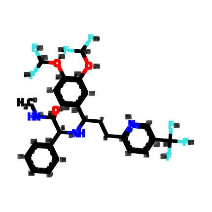 CNC(=O)C(NC(CCc1ccc(C(F)(F)F)cn1)c1ccc(OC(F)F)c(OC(F)F)c1)c1ccccc1